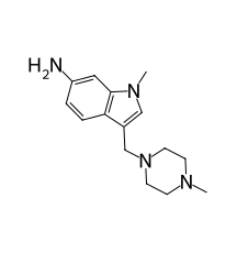 CN1CCN(Cc2cn(C)c3cc(N)ccc23)CC1